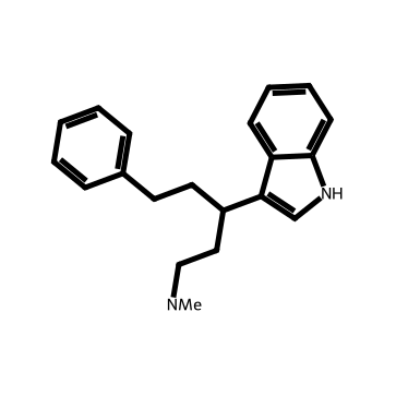 CNCCC(CCc1ccccc1)c1c[nH]c2ccccc12